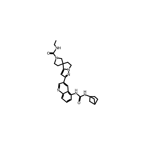 CCNC(=O)N1CCC2(CCn3nc(-c4cnc5cccc(NC(=O)NC67CCC(C6)C7)c5c4)cc32)C1